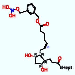 CCCCCCCC(=O)CC[C@@H]1[C@@H](C/C=C\CCCC(=O)OCc2cccc(CON(O)O)c2)[C@@H](O)C[C@H]1O